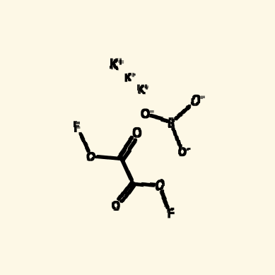 O=C(OF)C(=O)OF.[K+].[K+].[K+].[O-]B([O-])[O-]